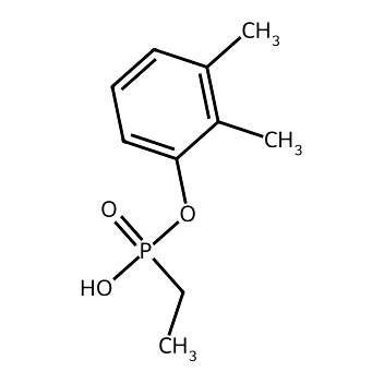 CCP(=O)(O)Oc1cccc(C)c1C